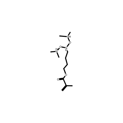 C=C(C)C(=O)OCCCC[SiH](O[SiH](C)C)O[SiH](C)C